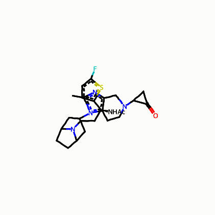 CC(=O)N[C@@H](CCN1C2CCC1CC(n1c(C)nc3c1CCN(C1CC1=O)C3)C2)c1ccc(F)s1